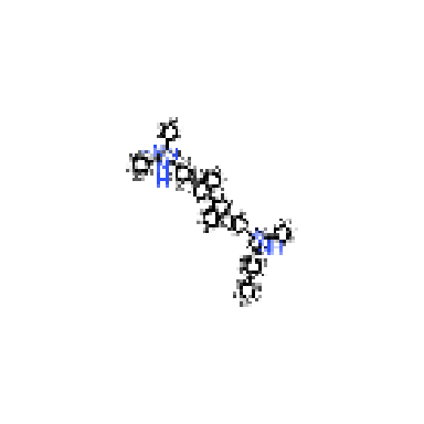 C1=C(c2ccc(-c3ccc(-c4ccc(-c5ccc(C6N=C(c7ccccc7)NC(c7ccccc7)N6)cc5)c5ccccc45)c4ccccc34)cc2)N=C(c2ccccc2)NC1c1ccc(-c2ccccc2)cc1